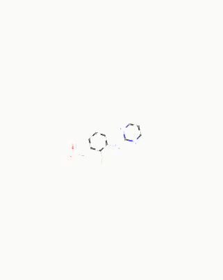 Cc1cnc(Nc2cccc(C[SH](=O)=O)c2F)nc1